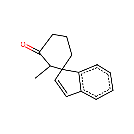 CC1C(=O)CCCC12C=Cc1ccccc12